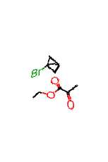 BrC12CC1C2.CCOC(=O)C(C)=O